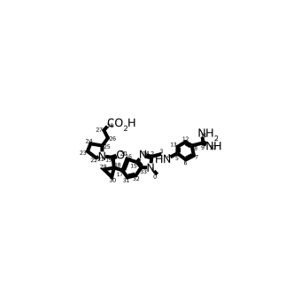 Cn1c(CNc2ccc(C(=N)N)cc2)nc2cc(C3(C(=O)N4CCCC4CCC(=O)O)CC3)ccc21